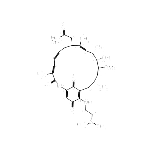 CO[C@H]1/C=C\C=C(/C)C(=O)NC2=CC(=O)C(NCCN(C)C)=C(C[C@@H](C)C[C@H](OC)[C@H](O)[C@@H](C)/C=C(\C)[C@@H]1CC(N)=O)C2=O